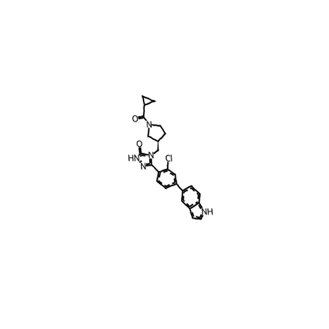 O=C(C1CC1)N1CC[C@@H](Cn2c(-c3ccc(-c4ccc5[nH]ccc5c4)cc3Cl)n[nH]c2=O)C1